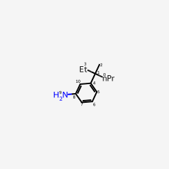 CCCC(C)(CC)c1cccc(N)c1